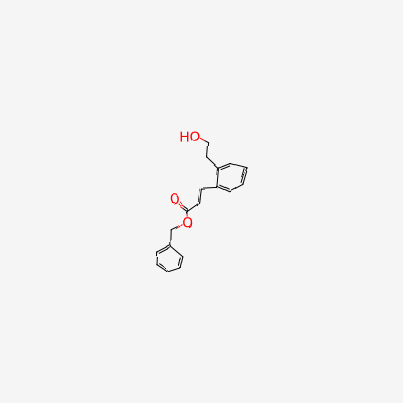 O=C(/C=C/c1ccccc1CCO)OCc1ccccc1